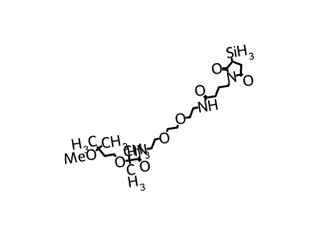 COC(C)(C)CCOC(C)(C)C(=O)NCCOCCOCCNC(=O)CCCN1C(=O)CC([SiH3])C1=O